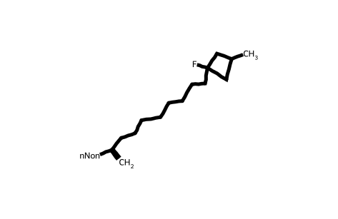 C=C(CCCCCCCCC)CCCCCCCCC1(F)CC(C)C1